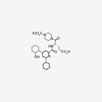 CCOC(=O)N1CCN(C(=O)[C@H](CCC(=O)O)NC(=O)c2cc(C3CCCCC3O)cc(-c3ccccc3)n2)CC1